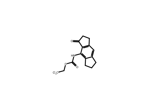 O=C(Nc1c2c(cc3c1C(=O)CC3)CCC2)OCC(Cl)(Cl)Cl